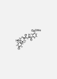 COC(=O)c1cccc(C(=O)NCC(=O)N2CC[C@](O)(c3ccc(Cl)cc3)C(C)(C)C2)c1